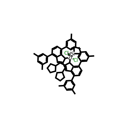 Cc1cc(C)cc(-c2ccc(-c3cc(C)cc(C)c3)c3c2C=C(CC2CCCC2)[CH]3[Zr]([Cl])([Cl])([CH]2C(CC3CCCC3)=Cc3c(-c4cc(C)cc(C)c4)ccc(-c4cc(C)cc(C)c4)c32)[SiH](C)C)c1